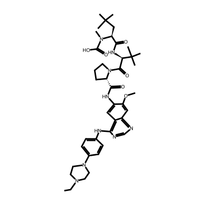 CCN1CCN(c2ccc(Nc3ncnc4cc(OC)c(NC(=O)[C@@H]5CCCN5C(=O)[C@@H](NC(=O)[C@H](CC(C)(C)C)N(C)C(=O)O)C(C)(C)C)cc34)cc2)CC1